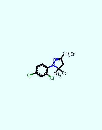 CCOC(=O)C1=NN(c2ccc(Cl)cc2Cl)C(C)(CC)C1